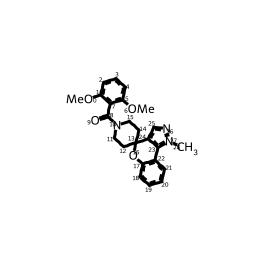 COc1cccc(OC)c1C(=O)N1CCC2(CC1)Oc1ccccc1-c1c2cnn1C